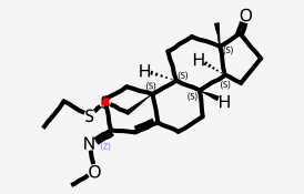 CCSSC[C@]12CC/C(=N/OC)C=C1CC[C@@H]1[C@@H]2CC[C@]2(C)C(=O)CC[C@@H]12